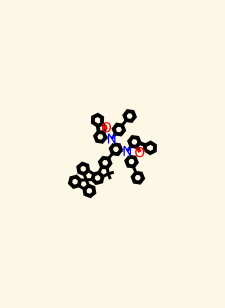 CC1(C)c2cc(-c3cc(N(c4ccc(-c5ccccc5)cc4)c4cccc5c4oc4ccccc45)cc(N(c4ccc(-c5ccccc5)cc4)c4cccc5c4oc4ccccc45)c3)ccc2-c2c1ccc1c2-c2ccccc2C12c1ccccc1-c1ccccc12